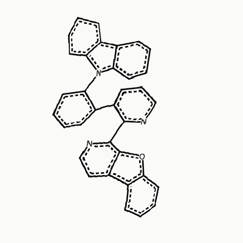 c1ccc(-n2c3ccccc3c3ccccc32)c(-c2cccnc2-c2nccc3c2oc2ccccc23)c1